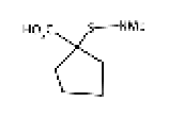 CNSC1(C(=O)O)CCCC1